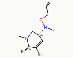 C=CCON(C)[C@@H]1C=C(CC)[C@@H](CC)N(C)C1